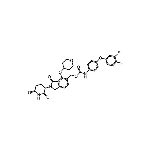 O=C1CCC(N2Cc3ccc(COC(=O)Nc4ccc(Oc5ccc(F)c(F)c5)cc4)c(OC4CCOCC4)c3C2=O)C(=O)N1